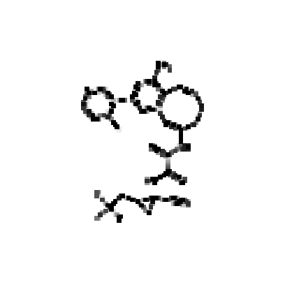 Cc1ccncc1-c1cc(N)c2c(c1)/C=C(/NC(=O)C(=O)NC1(C#N)CC1CC(F)(F)F)CC/C=C\2